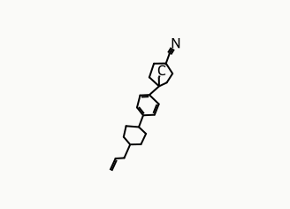 C=CCC1CCC(c2ccc(C34CCC(C#N)(CC3)CC4)cc2)CC1